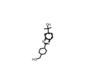 CC(C)(O)c1ccc2sc(C3CCC(CO)CC3)nc2c1